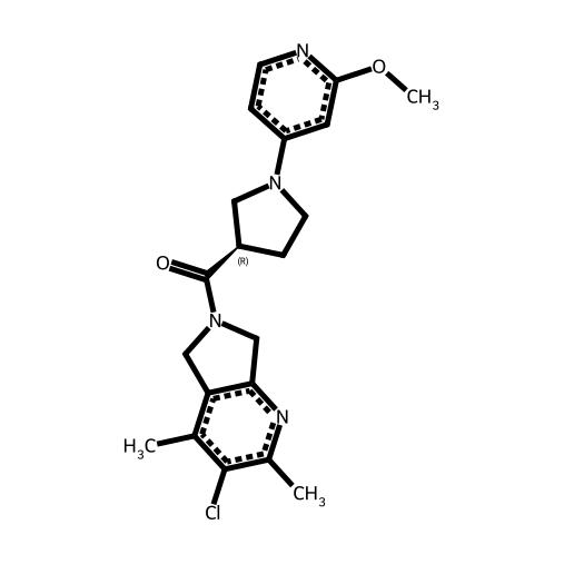 COc1cc(N2CC[C@@H](C(=O)N3Cc4nc(C)c(Cl)c(C)c4C3)C2)ccn1